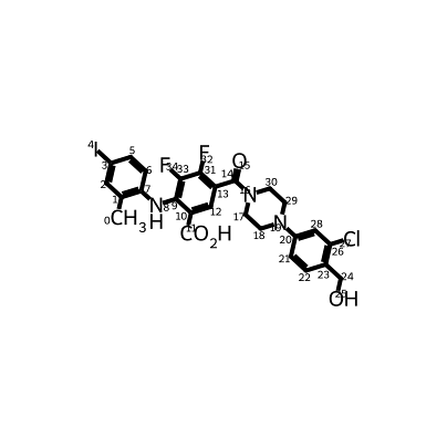 Cc1cc(I)ccc1Nc1c(C(=O)O)cc(C(=O)N2CCN(c3ccc(CO)c(Cl)c3)CC2)c(F)c1F